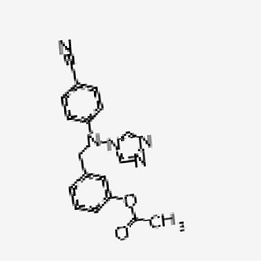 CC(=O)Oc1cccc(CN(c2ccc(C#N)cc2)n2cnnc2)c1